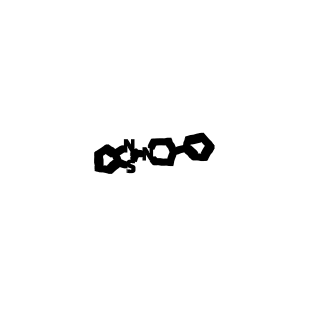 c1ccc(C2CCN(c3nc4ccccc4s3)CC2)cc1